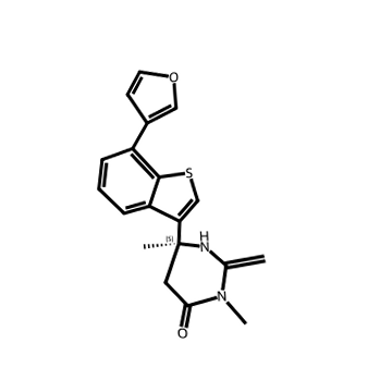 C=C1N[C@](C)(c2csc3c(-c4ccoc4)cccc23)CC(=O)N1C